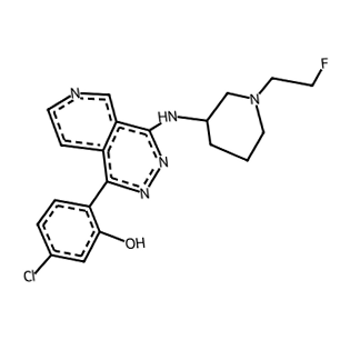 Oc1cc(Cl)ccc1-c1nnc(NC2CCCN(CCF)C2)c2cnccc12